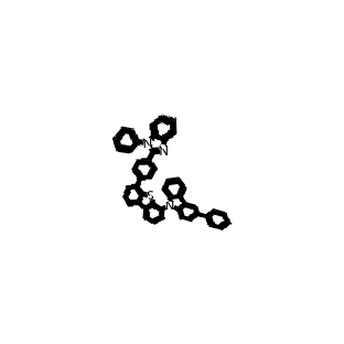 c1ccc(-c2ccc3c(c2)c2ccccc2n3-c2cccc3c2sc2c(-c4ccc(-c5nc6ccccc6n5-c5ccccc5)cc4)cccc23)cc1